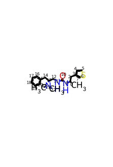 CC(Cc1ccsc1)NC(=O)NCC(Cc1ccccc1)N(C)C